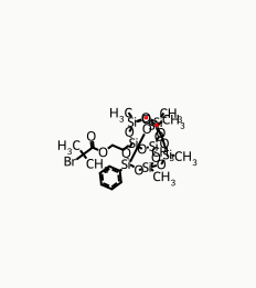 CC(C)(Br)C(=O)OCC[Si]12O[Si]3(C)O[Si]4(C)O[Si]5(C)O[Si](C)(O3)O[Si](c3ccccc3)(O[Si](C)(O5)O[Si](C)(O4)O1)O2